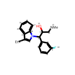 CCc1cn(C(c2cccc(F)c2)C(O)CNC)c2ccccc12